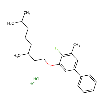 Cc1cc(-c2ccccc2)cc(OCCC(C)CCCC(C)C)c1F.Cl.Cl